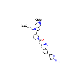 COCCCn1c([C@@H]2CCCN(C(=O)C[C@H](N)Cc3ccc(-c4ccc(N)nc4)cc3)C2)cc2cnc(OC)cc21